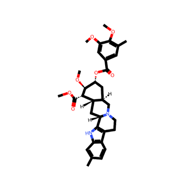 COC(=O)[C@H]1[C@H]2C[C@H]3c4[nH]c5cc(C)ccc5c4CCN3C[C@@H]2C[C@@H](OC(=O)c2cc(C)c(OC)c(OC)c2)[C@@H]1OC